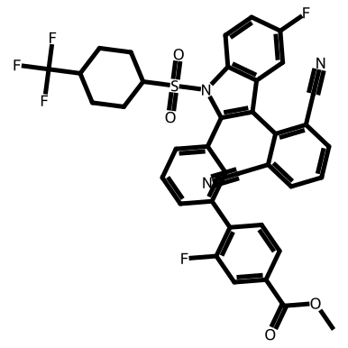 COC(=O)c1ccc(-c2cccc(-c3c(-c4c(C#N)cccc4C#N)c4cc(F)ccc4n3S(=O)(=O)C3CCC(C(F)(F)F)CC3)c2)c(F)c1